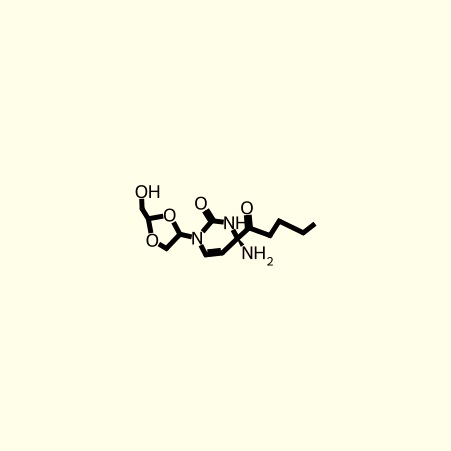 CCCCC(=O)[C@]1(N)C=CN(C2COC(CO)O2)C(=O)N1